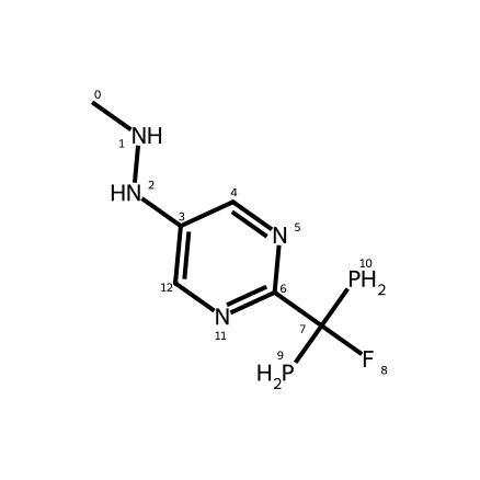 CNNc1cnc(C(F)(P)P)nc1